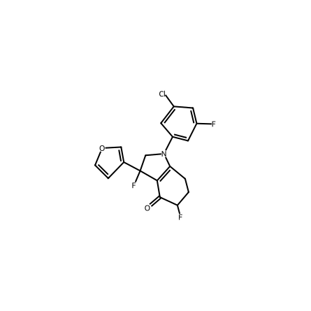 O=C1C2=C(CCC1F)N(c1cc(F)cc(Cl)c1)CC2(F)c1ccoc1